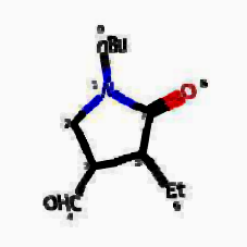 CCCCN1CC(C=O)C(CC)C1=O